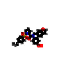 Cc1ccc(S(=O)(=O)N2CCC[C@H]2C(=O)N(Cc2ccc3ccoc3c2)C2CCC(O)CC2)cc1